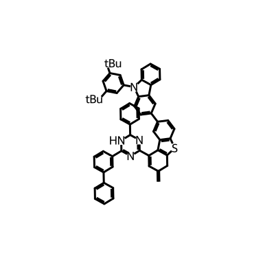 C=C1C=C(C2=NC(c3ccccc3)NC(c3cccc(-c4ccccc4)c3)=N2)c2c(sc3ccc(-c4ccc5c(c4)c4ccccc4n5-c4cc(C(C)(C)C)cc(C(C)(C)C)c4)cc23)C1